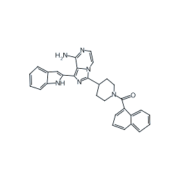 Nc1nccn2c(C3CCN(C(=O)c4cccc5ccccc45)CC3)nc(-c3cc4ccccc4[nH]3)c12